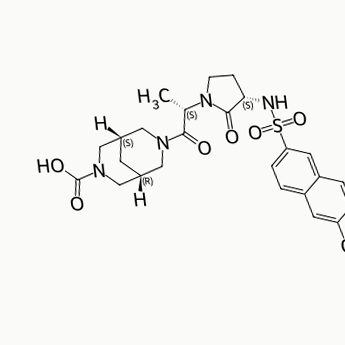 C[C@@H](C(=O)N1C[C@@H]2C[C@@H](CN(C(=O)O)C2)C1)N1CC[C@H](NS(=O)(=O)c2ccc3cc(Cl)ccc3c2)C1=O